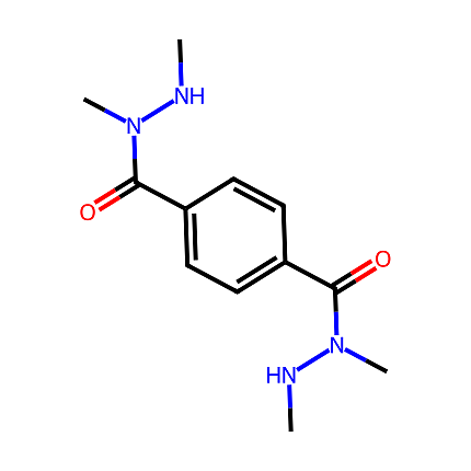 CNN(C)C(=O)c1ccc(C(=O)N(C)NC)cc1